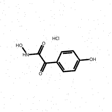 Cl.O=C(NO)C(=O)c1ccc(O)cc1